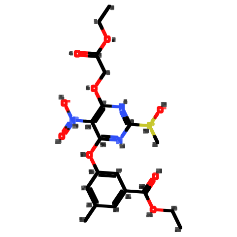 CCOC(=O)COc1nc([S+](C)[O-])nc(Oc2cc(C)cc(C(=O)OCC)c2)c1[N+](=O)[O-]